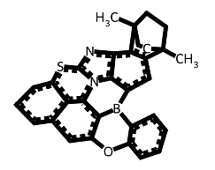 CC12CCC(C)(CC1)c1c2cc2c3c1nc1sc4cccc5cc6c(c(c54)n13)B2c1ccccc1O6